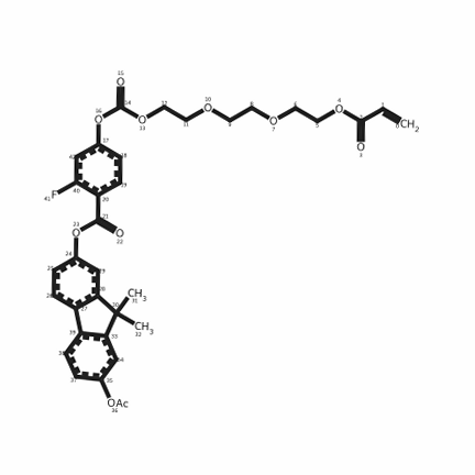 C=CC(=O)OCCOCCOCCOC(=O)Oc1ccc(C(=O)Oc2ccc3c(c2)C(C)(C)c2cc(OC(C)=O)ccc2-3)c(F)c1